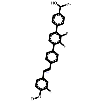 CCCC(O)c1ccc(-c2ccc(-c3ccc(/C=C/c4ccc(OCC)c(F)c4)cc3)c(F)c2F)cc1